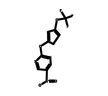 O=[N+]([O-])c1cnc(OC2=CC(OC(F)(F)F)=CC2)nc1